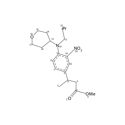 COC(=O)CC(C)c1ccc(N(CC(C)C)C2CCOCC2)c([N+](=O)[O-])c1